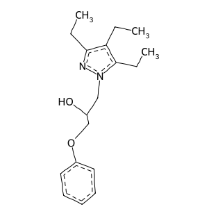 CCc1nn(CC(O)COc2ccccc2)c(CC)c1CC